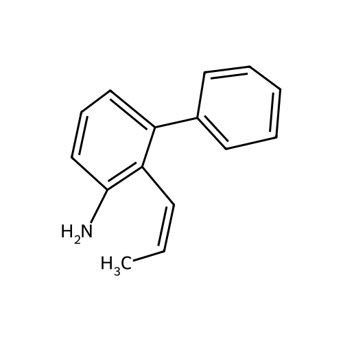 C/C=C\c1c(N)cccc1-c1ccccc1